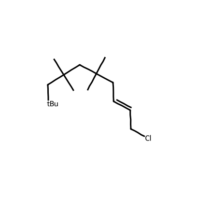 CC(C)(C)CC(C)(C)CC(C)(C)CC=CCCl